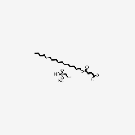 CCCCCCCCCCCCCCCCOC(=O)C=CC(=O)[O-].CCCS(=O)(=O)O.[Na+]